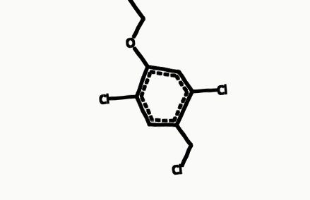 CCOc1cc(Cl)c(CCl)cc1Cl